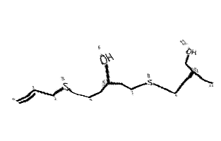 C=CCSCC(O)CSCC(C)O